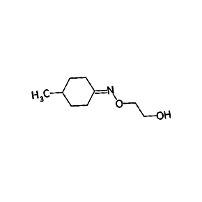 CC1CCC(=NOCCO)CC1